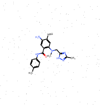 CNc1cc(N(C)Cc2nc(C)n[nH]2)c(C(=O)Nc2ccc(C)cc2)cc1N